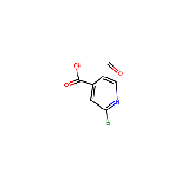 C=O.O=C(O)c1ccnc(Br)c1